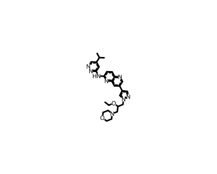 CCOC(CN1CCOCC1)Cn1cc(-c2cnc3ccc(Nc4cc(C(C)C)cnn4)nc3c2)cn1